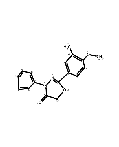 COc1ccc(C2=NN(c3ccccc3)C(=O)CO2)cc1C